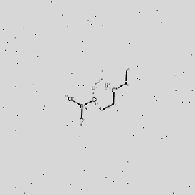 CCOCC.[Li+].[Li+].[Li+].[O-]B([O-])[O-]